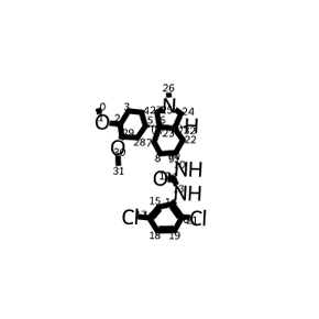 COC1CCC([C@@]23CC[C@@H](NC(=O)Nc4cc(Cl)ccc4Cl)C[C@@H]2CN(C)C3)CC1OC